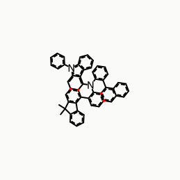 CC1(C)c2ccccc2-c2c(-c3ccccc3N(C3=c4c(n(-c5ccccc5)c5ccccc45)=CCC3)c3ccccc3-c3cccc4ccccc34)cccc21